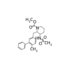 COC(=O)N1CCCC(NS(C)(=O)=O)C1Cc1ccc(C)c(-c2ccccc2)c1